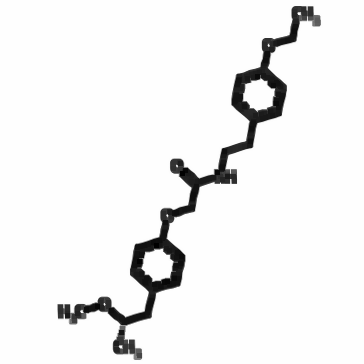 CCOc1ccc(CCNC(=O)COc2ccc(C[C@H](C)OC)cc2)cc1